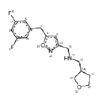 Fc1cc(F)cc(Cc2cc(CNCC3CCOC3)no2)c1